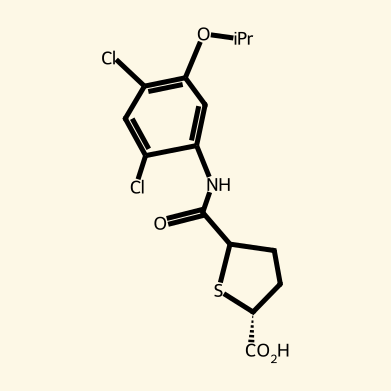 CC(C)Oc1cc(NC(=O)C2CC[C@H](C(=O)O)S2)c(Cl)cc1Cl